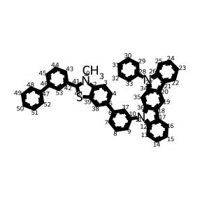 CN1c2ccc(-c3cccc(-n4c5ccccc5c5cc6c7ccccc7n(-c7ccccc7)c6cc54)c3)cc2SC1c1cccc(-c2ccccc2)c1